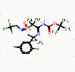 CC(C)(C)OC(=O)NC1=N[C@](C)(c2cc(I)ccc2F)C[S@@](=O)(=NCC(F)(F)F)C1(C)C